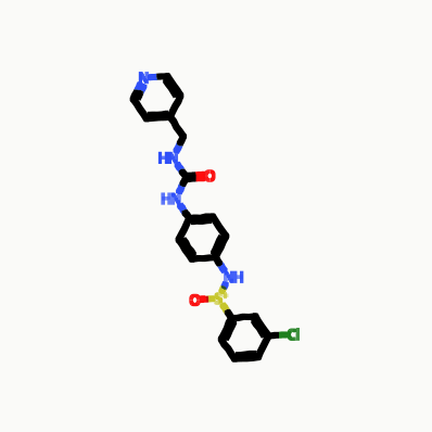 O=C(NCc1ccncc1)Nc1ccc(N[S+]([O-])c2cccc(Cl)c2)cc1